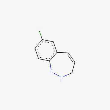 Brc1ccc2c(c1)C=CCNN2